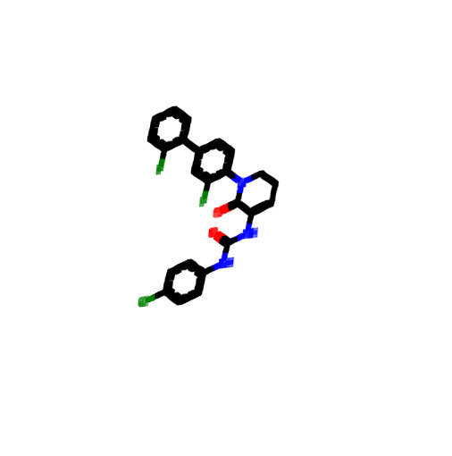 O=C(NC1=CCCN(c2ccc(-c3ccccc3F)cc2F)C1=O)Nc1ccc(Cl)cc1